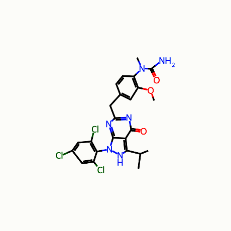 COc1cc(Cc2nc3n(-c4c(Cl)cc(Cl)cc4Cl)[nH]c(C(C)C)c-3c(=O)n2)ccc1N(C)C(N)=O